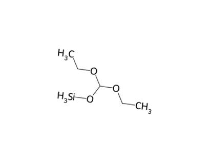 CCOC(O[SiH3])OCC